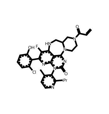 C=CC(=O)N1CCN2c3nc(=O)n(-c4c(C)ccnc4C(C)C)c4nc(-c5c(O)cccc5Cl)c(F)c(c34)NCC2C1